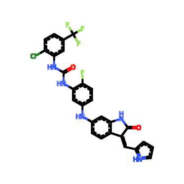 O=C(Nc1cc(Nc2ccc3c(c2)NC(=O)C3=Cc2ccc[nH]2)ccc1F)Nc1cc(C(F)(F)F)ccc1Cl